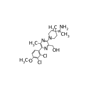 COc1ccc(-c2nc(CO)c(N3CCC(C)([C@@H](C)N)CC3)nc2C)c(Cl)c1Cl